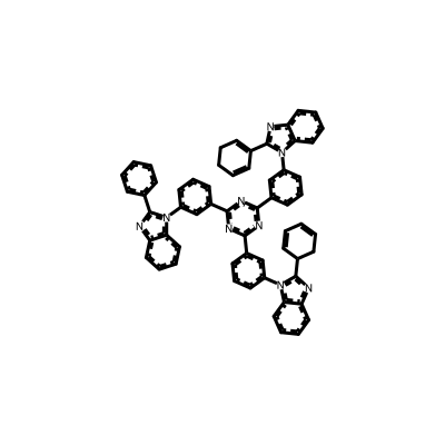 C1=CCC(c2nc3ccccc3n2-c2cccc(-c3nc(-c4cccc(-n5c(C6=CCCC=C6)nc6ccccc65)c4)nc(-c4cccc(-n5c(-c6ccccc6)nc6ccccc65)c4)n3)c2)C=C1